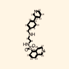 O=S(=O)(NCCNCc1ccc(-c2cccnc2)cc1)c1cccc2cnccc12